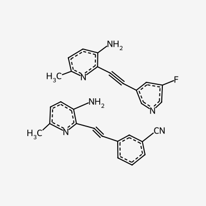 Cc1ccc(N)c(C#Cc2cccc(C#N)c2)n1.Cc1ccc(N)c(C#Cc2cncc(F)c2)n1